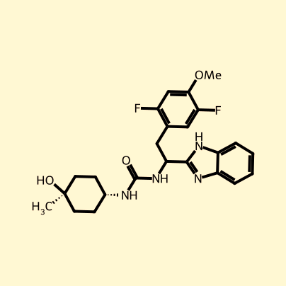 COc1cc(F)c(CC(NC(=O)N[C@H]2CC[C@](C)(O)CC2)c2nc3ccccc3[nH]2)cc1F